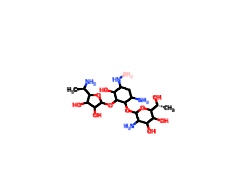 BNC1CC(N)C(OC2OC([C@@H](C)O)C(O)C(O)C2N)C(OC2OC([C@@H](C)N)C(O)C2O)C1O